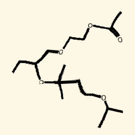 CCC(COCCOC(C)=O)OC(C)(C)CCOC(C)C